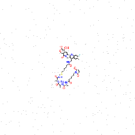 Cc1cc2c(CNC(=O)CCCCCSCNC(=O)[C@H](C)NC(=O)[C@H](C)NC(=O)[C@H](C)NC(=O)CCCCCN3C(=O)C=CC3=O)c3c(nc2cc1F)-c1cc2c(c(=O)n1C3)COC(=O)[C@H]2O